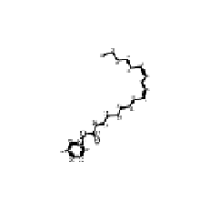 CCCCC/C=C\C/C=C\CCCCCCCC(=O)O[n+]1ccccc1